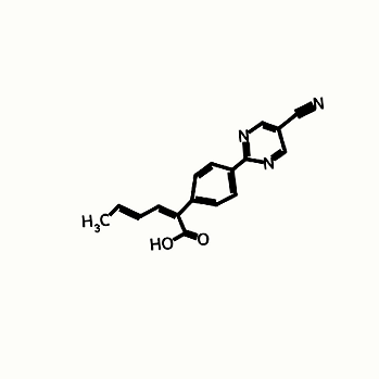 CC=CC=C(C(=O)O)c1ccc(-c2ncc(C#N)cn2)cc1